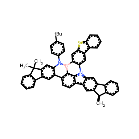 C=C1c2ccccc2-c2cc3c(cc21)c1ccc2c4c1n3-c1cc3c(cc1B4N(c1ccc(C(C)(C)C)cc1)c1cc4c(cc1-2)-c1ccccc1C4(C)C)sc1ccccc13